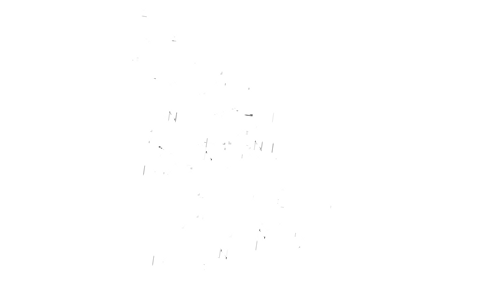 Cc1cnc2c(NC(=O)OC3CC3)cc(C(=O)NC[C@](O)(c3cc4c(c(-c5ccc(F)cc5)n3)OC[C@]4(C)C(N)=O)C(F)(F)F)cc2c1